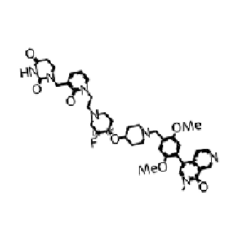 COc1cc(-c2cn(C)c(=O)c3cnccc23)c(OC)cc1CN1CCC(O[C@@H]2CCN(CCn3cccc(CN4CCC(=O)NC4=O)c3=O)C[C@H]2F)CC1